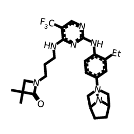 CCc1cc(N2CC3CCC(C2)N3C)ccc1Nc1ncc(C(F)(F)F)c(NCCCN2CC(C)(C)C2=O)n1